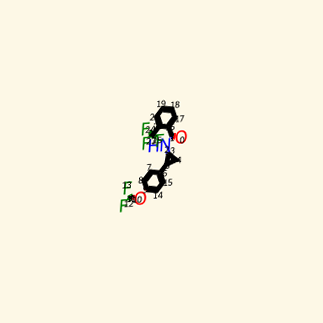 O=C(NC1CC1c1ccc(OC(F)F)cc1)c1ccccc1C(F)(F)F